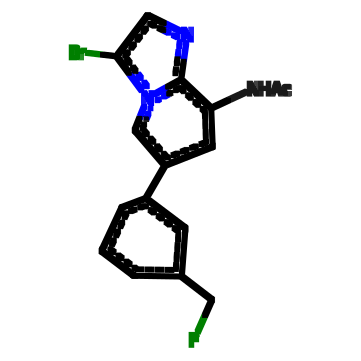 CC(=O)Nc1cc(-c2cccc(CF)c2)cn2c(Br)cnc12